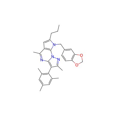 CCCc1cc2c(C)nc3c(-c4c(C)cc(C)cc4C)c(C)nn3c2n1Cc1ccc2c(c1)OCO2